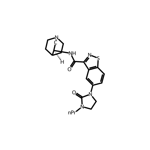 CCCN1CCN(c2ccc3snc(C(=O)N[C@@H]4CN5CCC4CC5)c3c2)C1=O